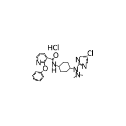 CN(C)N(c1ncc(Cl)cn1)C1CCC(NC(=O)c2cccnc2Oc2ccccc2)CC1.Cl